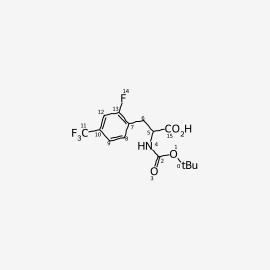 CC(C)(C)OC(=O)NC(Cc1ccc(C(F)(F)F)cc1F)C(=O)O